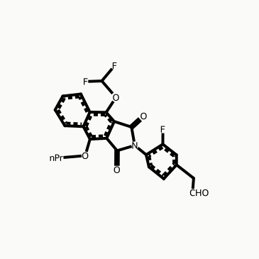 CCCOc1c2c(c(OC(F)F)c3ccccc13)C(=O)N(c1ccc(CC=O)cc1F)C2=O